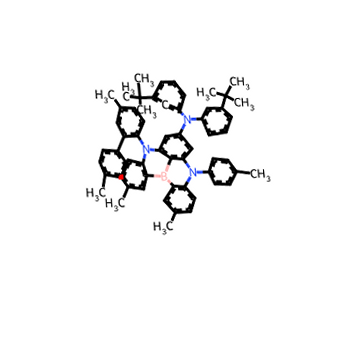 Cc1ccc(-c2cc(C)ccc2N2c3ccc(C)cc3B3c4cc(C)ccc4N(c4ccc(C)cc4)c4cc(N(c5cccc(C(C)(C)C)c5)c5cccc(C(C)(C)C)c5)cc2c43)cc1